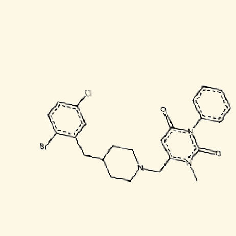 Cn1c(CN2CCC(Cc3cc(Cl)ccc3Br)CC2)cc(=O)n(-c2ccccc2)c1=O